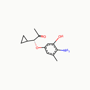 CC(=O)[C@H](Oc1cc(C)c(N)c(O)c1)C1CC1